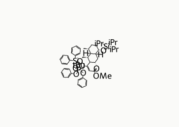 COC(=O)/C=C(/OP(=O)(Oc1ccccc1)Oc1ccccc1)C1[C@@H](CO[Si](c2ccccc2)(c2ccccc2)C(C)(C)C)[C@H]2[C@@H](C[C@@H]1C)[C@@H](O[Si](C(C)C)(C(C)C)C(C)C)CC[C@@H]2C